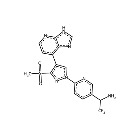 CS(=O)(=O)c1nn(-c2ccc(C(N)C(F)(F)F)cn2)cc1-c1ccnc2[nH]cnc12